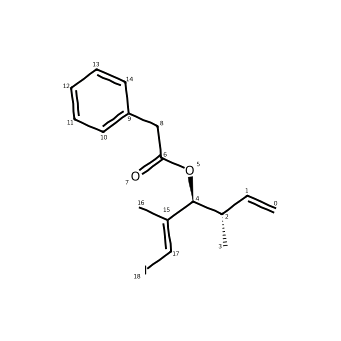 C=C[C@H](C)[C@H](OC(=O)Cc1ccccc1)/C(C)=C/I